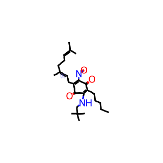 CCCCCC1=C(NCC(C)(C)C)C(=O)C(C/C=C(\C)CCC=C(C)C)=C(N=O)C1=O